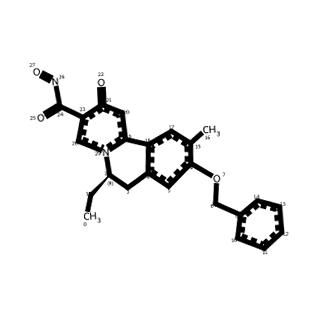 CC[C@@H]1Cc2cc(OCc3ccccc3)c(C)cc2-c2cc(=O)c(C(=O)N=O)cn21